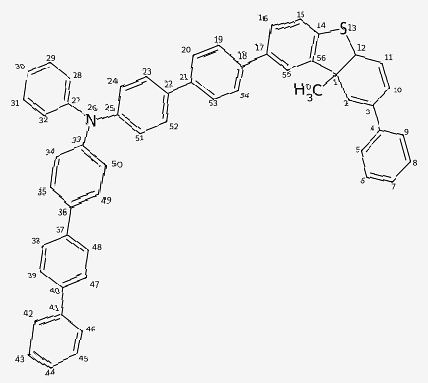 CC12C=C(c3ccccc3)C=CC1Sc1ccc(-c3ccc(-c4ccc(N(c5ccccc5)c5ccc(-c6ccc(-c7ccccc7)cc6)cc5)cc4)cc3)cc12